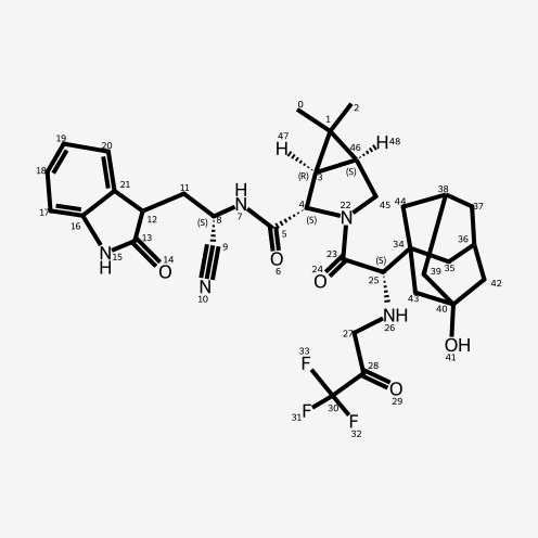 CC1(C)[C@@H]2[C@@H](C(=O)N[C@H](C#N)CC3C(=O)Nc4ccccc43)N(C(=O)[C@@H](NCC(=O)C(F)(F)F)C34CC5CC(CC(O)(C5)C3)C4)C[C@@H]21